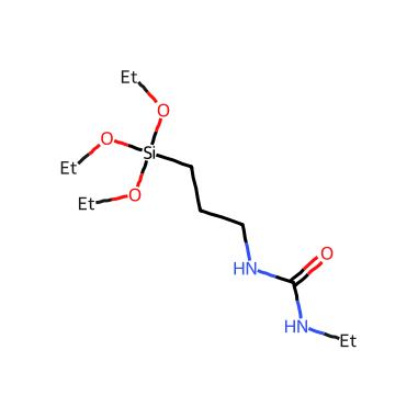 CCNC(=O)NCCC[Si](OCC)(OCC)OCC